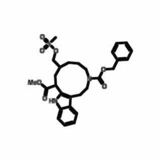 COC(=O)C1CC(COS(C)(=O)=O)CCCN(C(=O)OCc2ccccc2)CCc2c1[nH]c1ccccc21